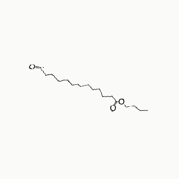 CCCCOC(=O)CCCCCCCCCCCC[C]=O